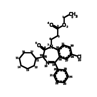 CCOC(=O)CCN1C(=O)[C@H](C2CCCCCC2)N=C(c2ccccc2)c2cc(Cl)ccc21